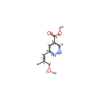 COC/C(C)=C\c1cc(C(=O)OC)cnn1